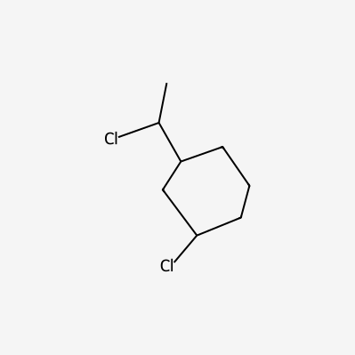 CC(Cl)C1CCCC(Cl)C1